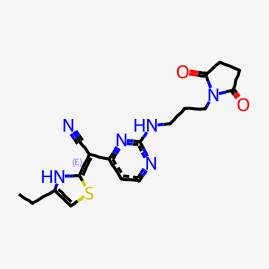 CCC1=CS/C(=C(/C#N)c2ccnc(NCCCN3C(=O)CCC3=O)n2)N1